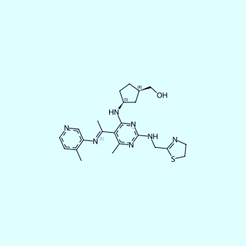 C/C(=N\c1cnccc1C)c1c(C)nc(NCC2=NCCS2)nc1N[C@H]1CC[C@@H](CO)C1